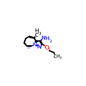 CCCOc1nn2c(c1N)/C(C)=C\CC/C=C\2